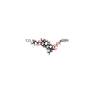 C=C(C)[C@@H]1CC[C@]2(C(=O)OCOCCOC)CC[C@]3(C)[C@H](CC[C@@H]4[C@@]5(C)CC[C@H](OC(=O)CC(C)(C)C(=O)O)C(C)(C)[C@@H]5CC[C@]43C)[C@@H]12